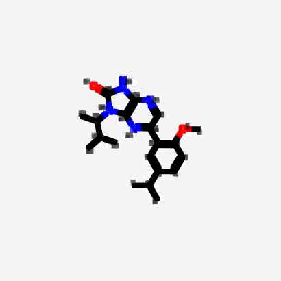 COc1ccc(C(C)C)cc1-c1cnc2[nH]c(=O)n(C(C)C(C)C)c2n1